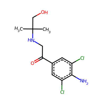 CC(C)(CO)NCC(=O)c1cc(Cl)c(N)c(Cl)c1